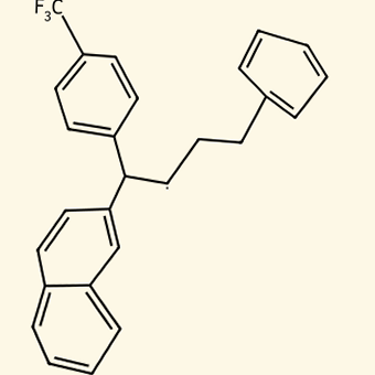 FC(F)(F)c1ccc(C([CH]CCc2ccccc2)c2ccc3ccccc3c2)cc1